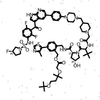 Cc1ncsc1-c1ccc(CNC(=O)[C@@H]2C[C@@H](O)CN2C(=O)C(NC(=O)CN2CCC(CN3CCN(c4ccc(-c5cnc6[nH]cc(C(=O)c7c(F)ccc(NS(=O)(=O)N8CC[C@@H](F)C8)c7F)c6c5)cc4)CC3)CC2)C(C)(C)C)c(COC(=O)COC(C)(C)CCOC(C)(C)C)c1